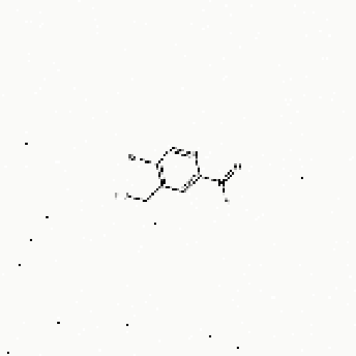 O=[N+]([O-])c1cc(CO)c(Br)cn1